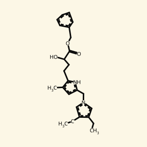 CCc1cn(Cc2cc(C)c(CCC(O)C(=O)OCc3ccccc3)[nH]2)cc1CC